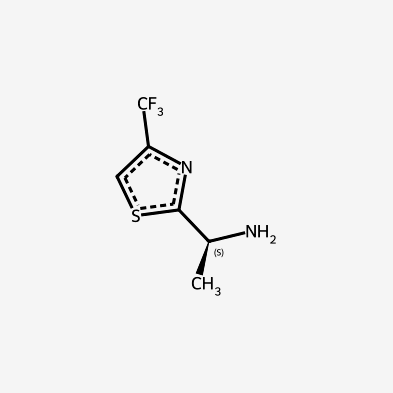 C[C@H](N)c1nc(C(F)(F)F)cs1